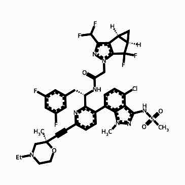 CCN1CCO[C@](C)(C#Cc2ccc(-c3ccc(Cl)c4c(NS(C)(=O)=O)nn(C)c34)c([C@H](Cc3cc(F)cc(F)c3)NC(=O)Cn3nc(C(F)F)c4c3C(F)(F)[C@@H]3C[C@H]43)n2)C1